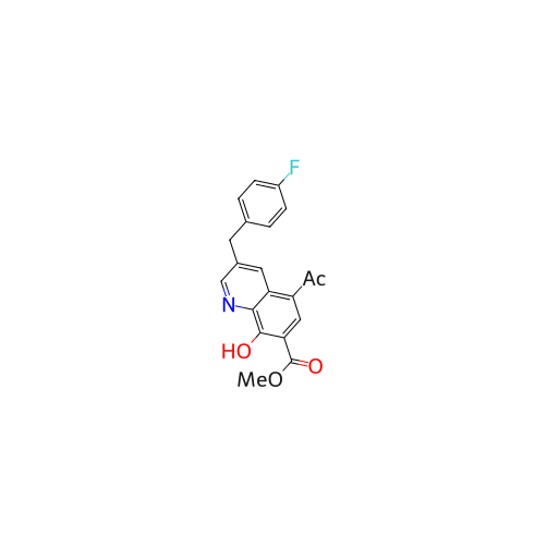 COC(=O)c1cc(C(C)=O)c2cc(Cc3ccc(F)cc3)cnc2c1O